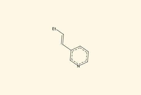 [CH2]C/C=C/c1cccnc1